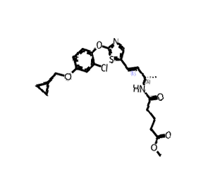 COC(=O)CCCC(=O)N[C@@H](C)/C=C/c1cnc(Oc2ccc(OCC3CC3)cc2Cl)s1